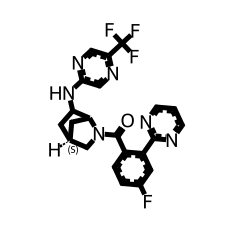 O=C(c1ccc(F)cc1-c1ncccn1)N1C[C@H]2CC(Nc3cnc(C(F)(F)F)cn3)C1C2